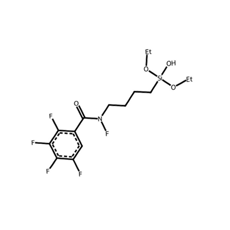 CCO[Si](O)(CCCCN(F)C(=O)c1cc(F)c(F)c(F)c1F)OCC